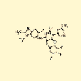 Cc1cncc(-n2c(=O)nc(Nc3cc4c(cc3F)nc(C)n4C)n(Cc3cc(F)c(F)c(F)c3)c2=O)c1